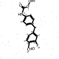 CC(C)(C)OC(=O)Nc1ccc(Cc2ccc(C=O)c(F)c2)cc1